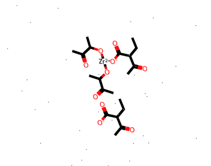 CC(=O)C(C)[O][Zr+2][O]C(C)C(C)=O.CCC(C(C)=O)C(=O)[O-].CCC(C(C)=O)C(=O)[O-]